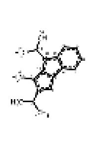 CC(C)n1cc2c3ccccc3n(C(C)C)c2c1N